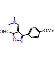 COc1ccc(C2=NOC(C=O)C2=CN(C)C)cc1